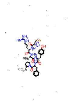 CCCC[C@H](NC(=O)[C@H](CCCNC(=N)N)NC(=O)[C@@H](N)CS)C(=O)N[C@@H](Cc1ccc(O)cc1)C(=O)N[C@@H](Cc1ccccc1)C(=O)N1CCC[C@H]1C(=O)O